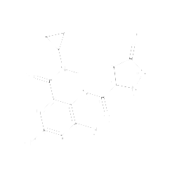 CN(C(=O)c1cc(Cl)cc(Br)c1NC(=O)C1CC(=O)NN1)C1CC1